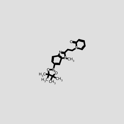 Cn1c(CCn2ccccc2=O)nc2ccc(B3OC(C)(C)C(C)(C)O3)cc21